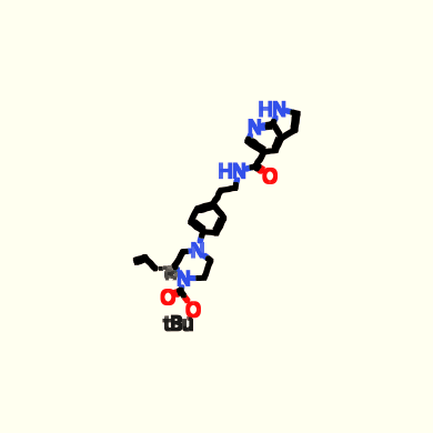 C=CC[C@@H]1CN(c2ccc(CCNC(=O)c3cnc4[nH]ccc4c3)cc2)CCN1C(=O)OC(C)(C)C